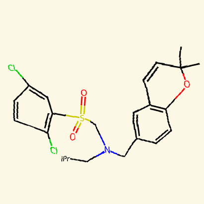 CC(C)CN(Cc1ccc2c(c1)C=CC(C)(C)O2)CS(=O)(=O)c1cc(Cl)ccc1Cl